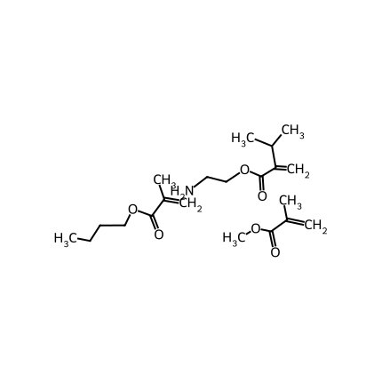 C=C(C(=O)OCCN)C(C)C.C=C(C)C(=O)OC.C=C(C)C(=O)OCCCC